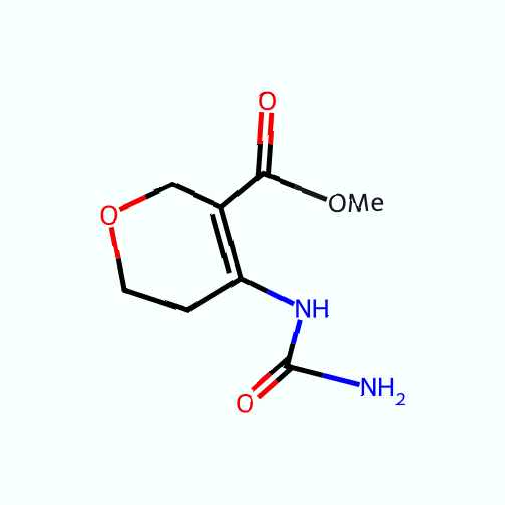 COC(=O)C1=C(NC(N)=O)CCOC1